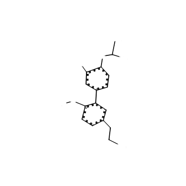 C[CH]Cc1ccc(OC)c(-c2ccc(OC(C)C)c(Cl)c2)c1